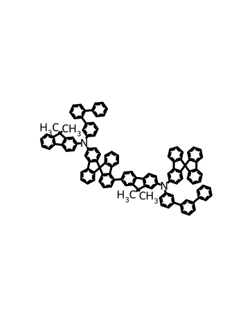 CC1(C)c2ccccc2-c2ccc(N(c3cccc(-c4ccccc4-c4ccccc4)c3)c3ccc4c(c3)-c3ccccc3C43c4ccccc4-c4c(-c5ccc6c(c5)C(C)(C)c5cc(N(c7cccc(-c8cccc(-c9ccccc9)c8)c7)c7ccc8c(c7)-c7ccccc7C87c8ccccc8-c8ccccc87)ccc5-6)cccc43)cc21